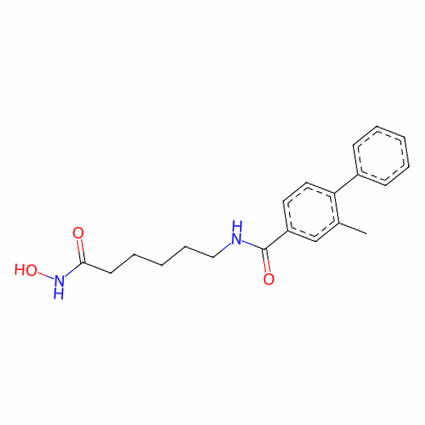 Cc1cc(C(=O)NCCCCCC(=O)NO)ccc1-c1ccccc1